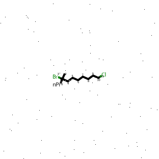 CCCC(C)(Br)CCCCCCCCl